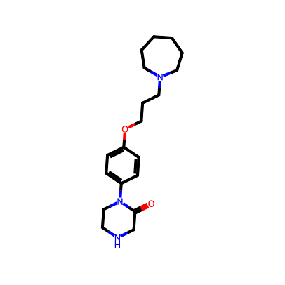 O=C1CNCCN1c1ccc(OCCCN2CCCCCC2)cc1